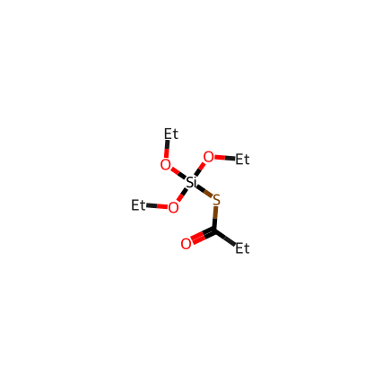 CCO[Si](OCC)(OCC)SC(=O)CC